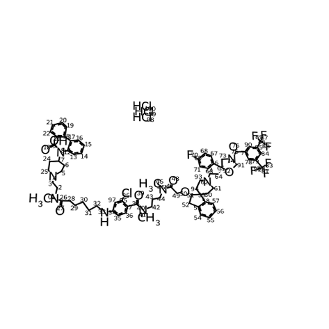 CN(CCN1CCC(N(C(=O)O)c2ccccc2-c2ccccc2)CC1)C(=O)CCCCCNc1ccc(C(=O)N(C)CCCN(C)C(=O)CO[C@H]2Cc3ccccc3C23CCN(CC[C@]2(c4ccc(F)cc4)CN(C(=O)c4cc(C(F)(F)F)cc(C(F)(F)F)c4)CO2)CC3)c(Cl)c1.Cl.Cl.Cl